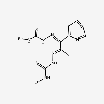 CCNC(=S)N/N=C(\C(C)=N\NC(=S)NCC)c1ccccn1